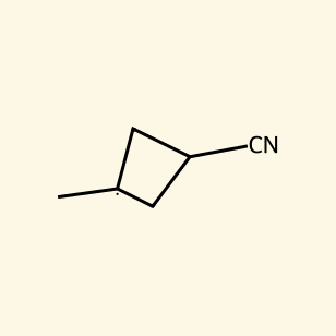 C[C]1CC(C#N)C1